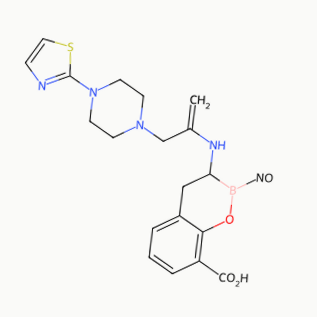 C=C(CN1CCN(c2nccs2)CC1)NC1Cc2cccc(C(=O)O)c2OB1N=O